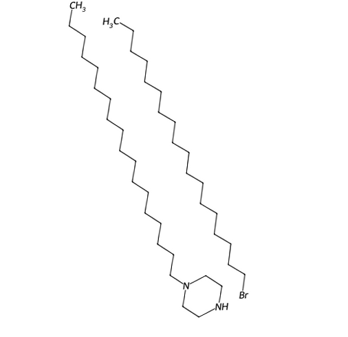 CCCCCCCCCCCCCCCCCCBr.CCCCCCCCCCCCCCCCCCN1CCNCC1